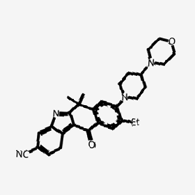 CCc1cc2c(cc1N1CCC(N3CCOCC3)CC1)C(C)(C)C1=NC3=CC(C#N)=CCC3=C1C2=O